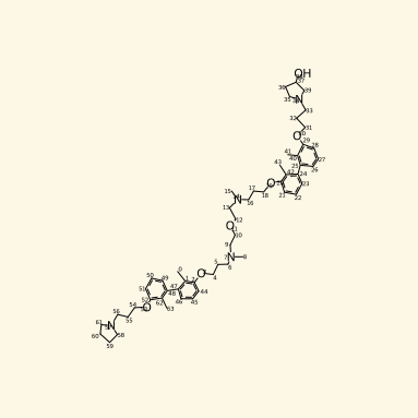 Cc1c(OCCCN(C)CCOCCN(C)CCCOc2cccc(-c3cccc(OCCCN4CCC(O)C4)c3C)c2C)cccc1-c1cccc(OCCCN2CCCC2)c1C